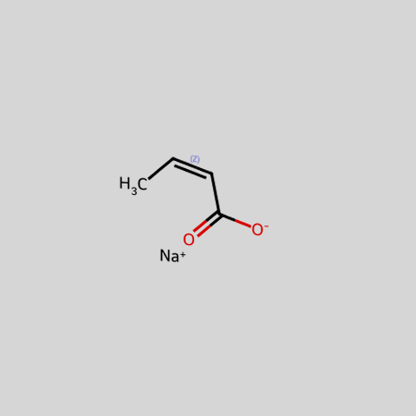 C/C=C\C(=O)[O-].[Na+]